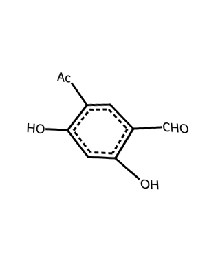 CC(=O)c1cc(C=O)c(O)cc1O